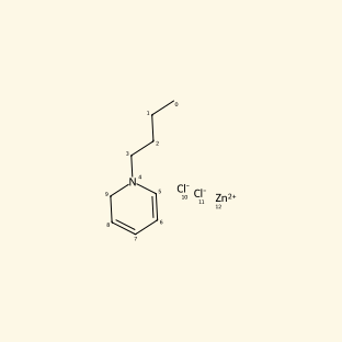 CCCCN1C=CC=CC1.[Cl-].[Cl-].[Zn+2]